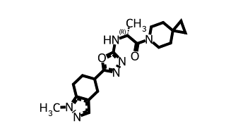 C[C@@H](Nc1nnc(C2CCc3c(cnn3C)C2)o1)C(=O)N1CCC2(CC1)CC2